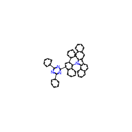 c1ccc(-c2nc(-c3ccccc3)nc(-c3cc(-c4ccccc4)c(-n4c5cc6ccccc6cc5c5ccc6ccccc6c54)c4ccccc34)n2)cc1